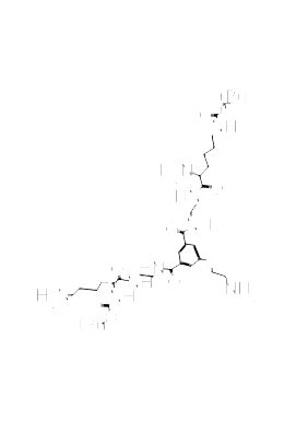 CC(C)(C)OC(=O)NCCCCC(N)C(=O)NCCNC(=O)c1cc(OCCN)cc(C(=O)NCCNC(=O)[C@H](CCCCN)NC(=O)OC(C)(C)C)c1